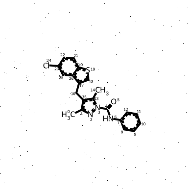 Cc1nn(C(=O)Nc2ccccc2)c(C)c1Cc1csc2ccc(Cl)cc12